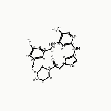 Cc1cnc(Nc2cnn(CC(=O)N3CCOCC3)c2)nc1NCc1cc(F)cc(F)c1